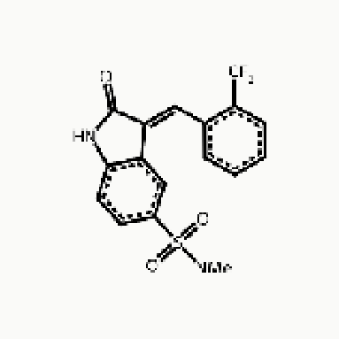 CNS(=O)(=O)c1ccc2c(c1)C(=Cc1ccccc1C(F)(F)F)C(=O)N2